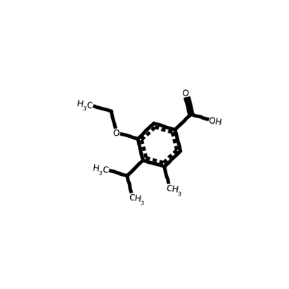 CCOc1cc(C(=O)O)cc(C)c1C(C)C